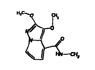 CNC(=O)c1cccn2nc(OC)c(OC)c12